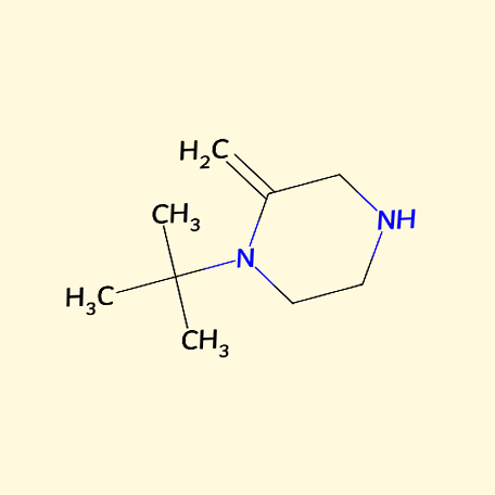 C=C1CNCCN1C(C)(C)C